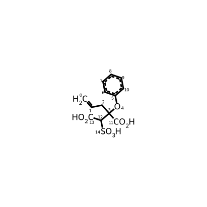 C=CCC(Oc1ccccc1)(C(=O)O)C(C(=O)O)S(=O)(=O)O